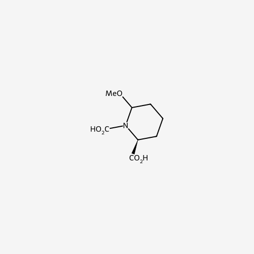 COC1CCC[C@@H](C(=O)O)N1C(=O)O